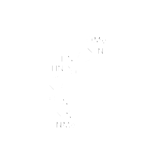 CNc1cc(Oc2ccc(NC(=O)Nc3ccc(N4CCCCC4)c(OC)c3)cc2)ncn1